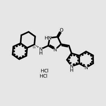 Cl.Cl.O=C1NC(N[C@H]2CCCc3ccccc32)=NC1=Cc1c[nH]c2ncccc12